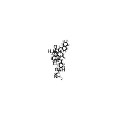 CC1CCN(C(Cc2cccc3ccccc23)C(N)=O)C(=O)C(c2cccc(Cl)c2)N1C(=O)Cc1ccc(NC(=O)CCN)cc1